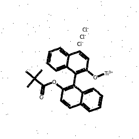 CC(C)(C)C(=O)Oc1ccc2ccccc2c1-c1c([O][Ti+3])ccc2ccccc12.[Cl-].[Cl-].[Cl-]